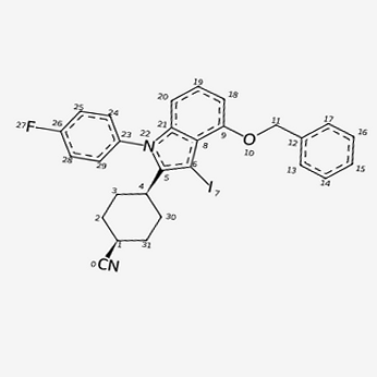 N#C[C@H]1CC[C@@H](c2c(I)c3c(OCc4ccccc4)cccc3n2-c2ccc(F)cc2)CC1